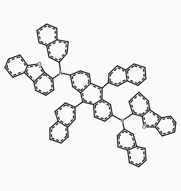 c1ccc2cc(-c3c4ccc(N(c5ccc6ccccc6c5)c5cccc6c5oc5ccccc56)cc4c(-c4ccc5ccccc5c4)c4ccc(N(c5ccc6ccccc6c5)c5cccc6c5oc5ccccc56)cc34)ccc2c1